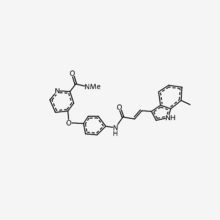 CNC(=O)c1cc(Oc2ccc(NC(=O)C=Cc3c[nH]c4c(C)cccc34)cc2)ccn1